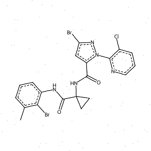 Cc1cccc(NC(=O)C2(NC(=O)c3cc(Br)nn3-c3ncccc3Cl)CC2)c1Br